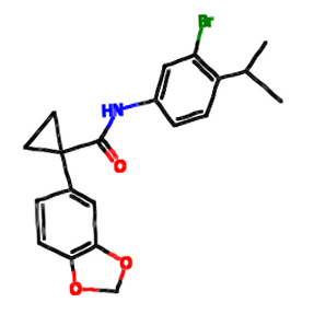 CC(C)c1ccc(NC(=O)C2(c3ccc4c(c3)OCO4)CC2)cc1Br